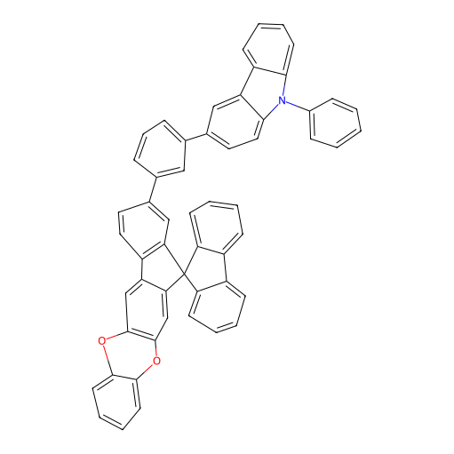 c1ccc(-n2c3ccccc3c3cc(-c4cccc(-c5ccc6c(c5)C5(c7ccccc7-c7ccccc75)c5cc7c(cc5-6)Oc5ccccc5O7)c4)ccc32)cc1